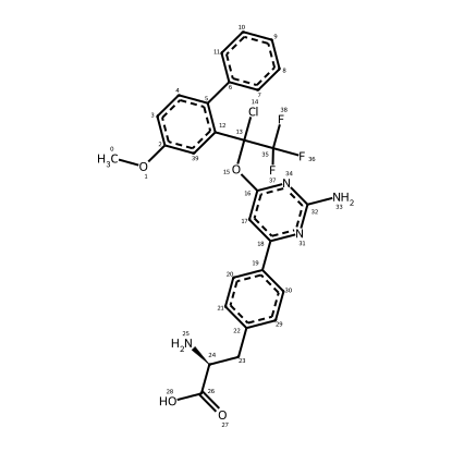 COc1ccc(-c2ccccc2)c(C(Cl)(Oc2cc(-c3ccc(C[C@H](N)C(=O)O)cc3)nc(N)n2)C(F)(F)F)c1